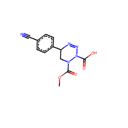 COC(=O)N1CC(c2ccc(C#N)cc2)N=NN1C(=O)O